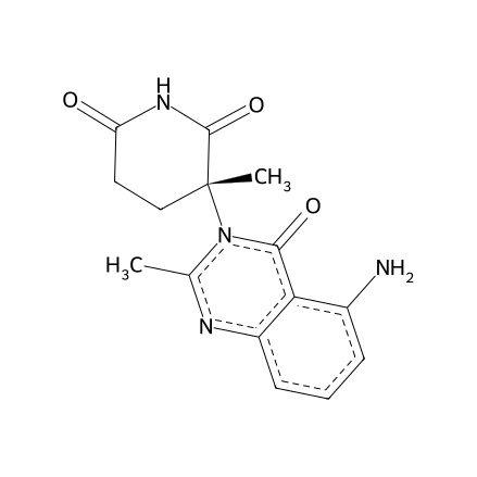 Cc1nc2cccc(N)c2c(=O)n1[C@]1(C)CCC(=O)NC1=O